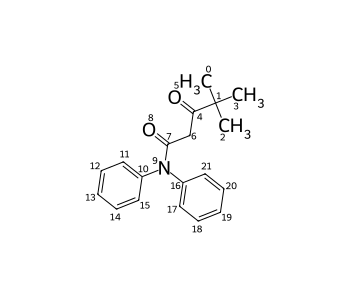 CC(C)(C)C(=O)CC(=O)N(c1ccccc1)c1ccccc1